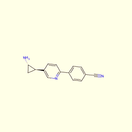 N#Cc1ccc(-c2ccc([C@H]3C[C@@H]3N)cn2)cc1